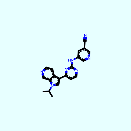 CC(C)n1cc(-c2ccnc(Nc3cncc(C#N)c3)n2)c2ccncc21